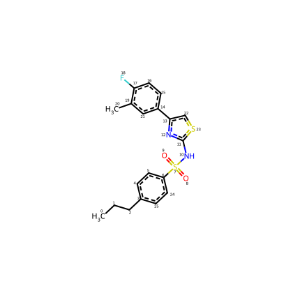 CCCc1ccc(S(=O)(=O)Nc2nc(-c3ccc(F)c(C)c3)cs2)cc1